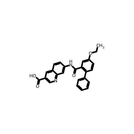 CCOc1ccc(-c2ccccc2)c(C(=O)Nc2ccc3cc(C(=O)O)cnc3c2)c1